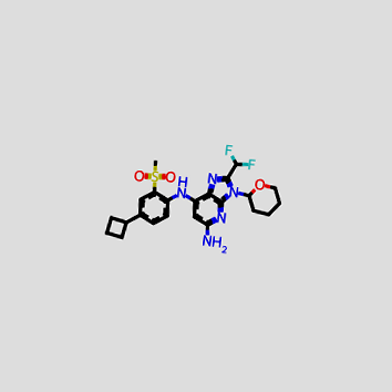 CS(=O)(=O)c1cc(C2CCC2)ccc1Nc1cc(N)nc2c1nc(C(F)F)n2C1CCCCO1